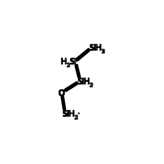 [SiH2]O[SiH2][SiH2][SiH3]